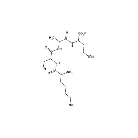 CSCCC(NC(=O)C(C)NC(=O)C(CC(C)C)NC(=O)C(N)CCCCN)C(=O)O